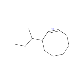 C[CH]C(C)C1/C=C\CCCCC1